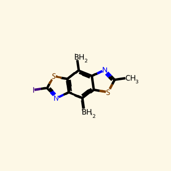 Bc1c2nc(I)sc2c(B)c2nc(C)sc12